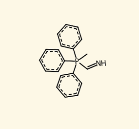 CP(C=N)(c1ccccc1)(c1ccccc1)c1ccccc1